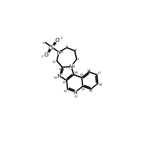 CS(=O)(=O)N1CCCn2c(nc3cnc4ccccc4c32)C1